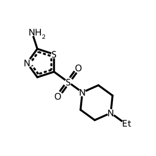 CCN1CCN(S(=O)(=O)c2cnc(N)s2)CC1